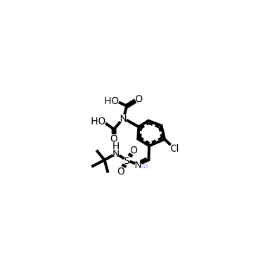 CC(C)(C)NS(=O)(=O)/N=C\c1cc(N(C(=O)O)C(=O)O)ccc1Cl